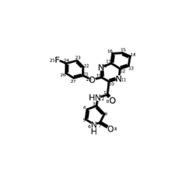 O=C(Nc1cc[nH]c(=O)c1)c1nc2ccccc2nc1Oc1ccc(F)cc1